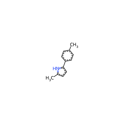 Cc1ccc(-c2ccc(C)[nH]2)cc1